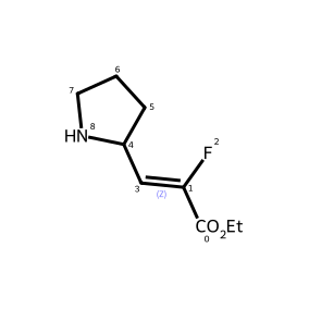 CCOC(=O)/C(F)=C/C1CCCN1